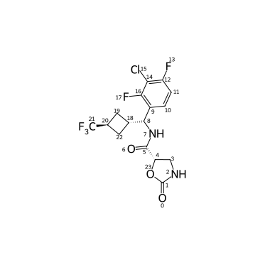 O=C1NC[C@@H](C(=O)NC(c2ccc(F)c(Cl)c2F)[C@H]2C[C@H](C(F)(F)F)C2)O1